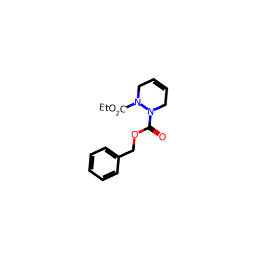 CCOC(=O)N1CC=CCN1C(=O)OCc1ccccc1